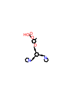 Cc1cc(OCC#Cc2cc(C#CCN3CCCCC3)cc(C#CCN3CCCCC3)c2)ccc1OCC(=O)O